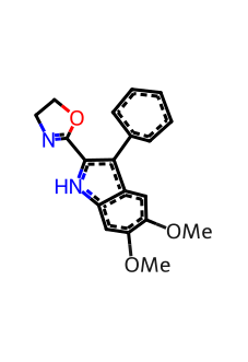 COc1cc2[nH]c(C3=NCCO3)c(-c3ccccc3)c2cc1OC